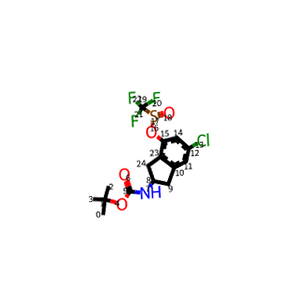 CC(C)(C)OC(=O)NC1Cc2cc(Cl)cc(OS(=O)C(F)(F)F)c2C1